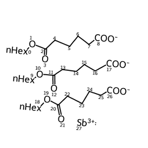 CCCCCCOC(=O)CCCCC(=O)[O-].CCCCCCOC(=O)CCCCC(=O)[O-].CCCCCCOC(=O)CCCCC(=O)[O-].[Sb+3]